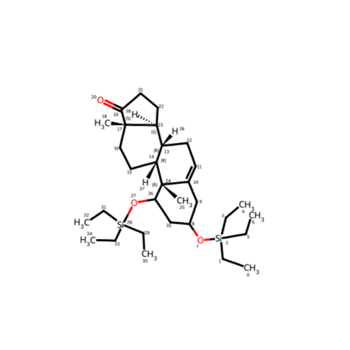 CC[Si](CC)(CC)OC1CC2=CC[C@@H]3[C@@H](CC[C@]4(C)C(=O)CC[C@@H]34)[C@@]2(C)C(O[Si](CC)(CC)CC)C1